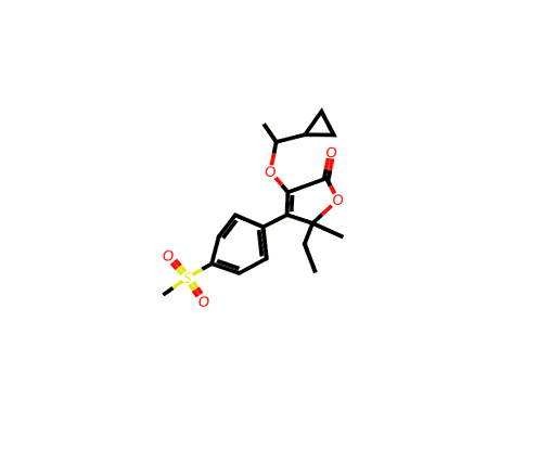 CCC1(C)OC(=O)C(OC(C)C2CC2)=C1c1ccc(S(C)(=O)=O)cc1